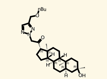 CCCCOCc1cnn(CC(=O)[C@H]2CC[C@H]3[C@@H]4CC[C@@H]5C[C@](C)(O)CC[C@]5(C)[C@H]4CC[C@]23C)n1